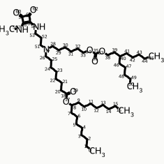 CCCCCCCCC(CCCCCCCC)OC(=O)CCCCCCCN(CCCCCCOC(=O)OCCC(CCCCC)CCCCC)CCCNc1c(NC)c(=O)c1=O